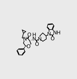 O=C(N[C@@H]1CO[C@@H](c2ccccc2)CN(CC2CC2)C1=O)N1CCC(n2c(=O)[nH]c3ccccc32)CC1